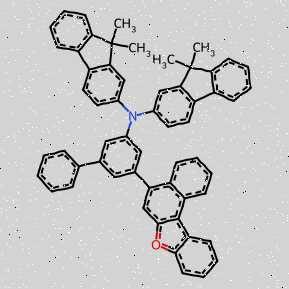 CC1(C)c2ccccc2-c2ccc(N(c3cc(-c4ccccc4)cc(-c4cc5oc6ccccc6c5c5ccccc45)c3)c3ccc4c(c3)C(C)(C)c3ccccc3-4)cc21